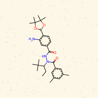 CCC(N(NC(=O)c1ccc(B2OC(C)(C)C(C)(C)O2)c(N)c1)C(=O)c1cc(C)cc(C)c1)C(C)(C)C